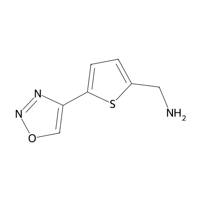 NCc1ccc(-c2conn2)s1